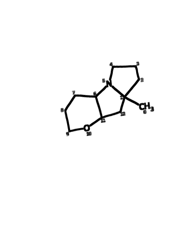 CC12CCCN1C1CCCOC1C2